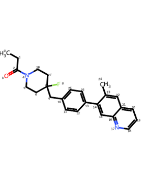 CCC(=O)N1CCC(F)(Cc2ccc(-c3cc4ncccc4cc3C)cc2)CC1